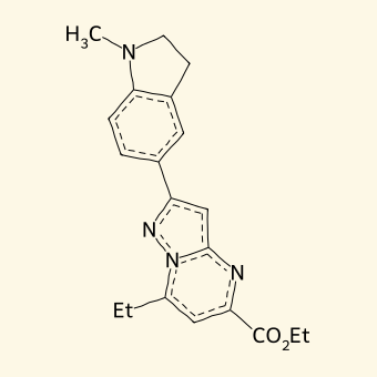 CCOC(=O)c1cc(CC)n2nc(-c3ccc4c(c3)CCN4C)cc2n1